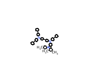 CC1C=CC(n2c3c(c4ccc(N(c5ccc(-c6ccccc6)cc5)c5ccc(-c6ccc(N(c7ccc(-c8ccccc8)cc7)c7ccc(-c8ccccc8)cc7)cc6)cc5)cc42)CC(C)CC3C)=CC1